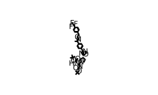 C/C(=N\OCc1ccc(C(F)(F)F)cc1)c1ccc(-c2noc([C@@H]3CCN(C(=NC(=O)OC(C)(C)C)NC(=O)OC(C)(C)C)C3)n2)cc1